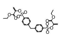 C=C(OS(=O)(=O)c1ccc(Cc2ccc(S(=O)(=O)OC(=C)C(=O)OCC)cc2)cc1)C(=O)OCC